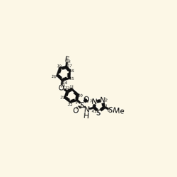 CSc1nnc(NS(=O)(=O)c2ccc(Oc3ccc(F)cc3)cc2)s1